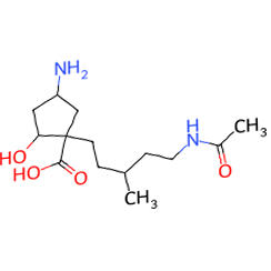 CC(=O)NCCC(C)CCC1(C(=O)O)CC(N)CC1O